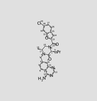 CCC[C@H]1C(=O)N(Cc2ccc3c(N)ncnc3c2)[C@@H](C)CN1C(=O)c1cc2ccc(Cl)cc2o1